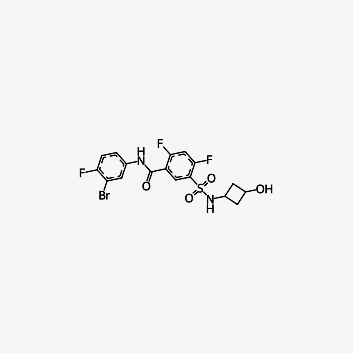 O=C(Nc1ccc(F)c(Br)c1)c1cc(S(=O)(=O)NC2CC(O)C2)c(F)cc1F